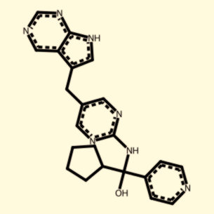 OC(Nc1ncc(Cc2c[nH]c3ncncc23)cn1)(c1ccncc1)C1CCCC1